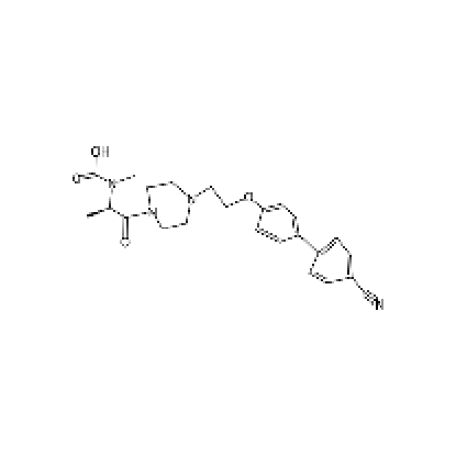 C[C@H](C(=O)N1CCN(CCOc2ccc(-c3ccc(C#N)cc3)cc2)CC1)N(C)C(=O)O